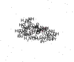 CC[C@H](C)[C@H](NC(=O)[C@H](CC(=O)O)NC(=O)[C@@H](N)CO)C(=O)N[C@@H](CO)C(=O)N[C@@H](CO)C(=O)N[C@H](C(=O)N[C@@H](CCCNC(=N)N)C(=O)NCC(=O)N[C@@H](Cc1ccccc1)C(=O)N1CCC[C@H]1C(=O)N[C@@H](CO)C(=O)N[C@H](C(=O)N[C@@H](CC(C)C)C(=O)N[C@@H](CCCNC(=N)N)C(=O)O)C(C)C)[C@@H](C)O